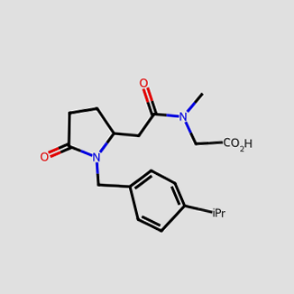 CC(C)c1ccc(CN2C(=O)CCC2CC(=O)N(C)CC(=O)O)cc1